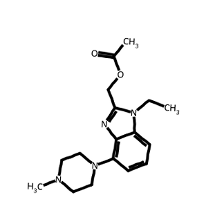 CCn1c(COC(C)=O)nc2c(N3CCN(C)CC3)cccc21